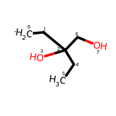 [CH2]CC(O)(CC)CO